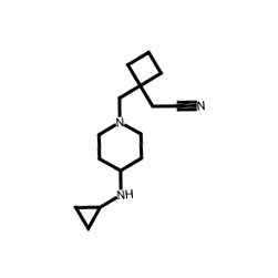 N#CCC1(CN2CCC(NC3CC3)CC2)CCC1